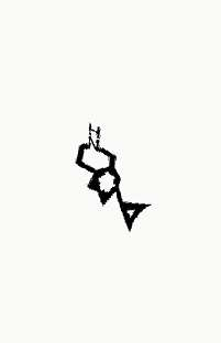 c1cc2c(cc1C1CC1)CNCC2